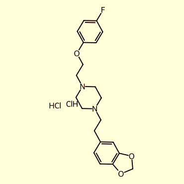 Cl.Cl.Fc1ccc(OCCN2CCN(CCc3ccc4c(c3)OCO4)CC2)cc1